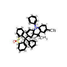 CC1(C)c2cc(C#N)ccc2N(c2ccccc2)c2ccc(C3(c4ccccc4)c4ccccc4[S+]([O-])c4ccccc43)cc21